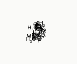 COc1cc(-c2cccc(-c3cccc(NC(=O)c4cn(C)c(=O)n(C)c4=O)c3C)c2C)cc(F)c1CN(C)CCO